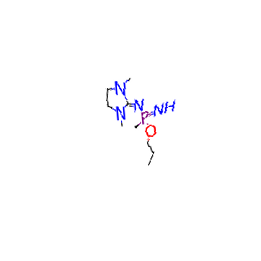 CCCO[P@@](C)(=N)N=C1N(C)CCN1C